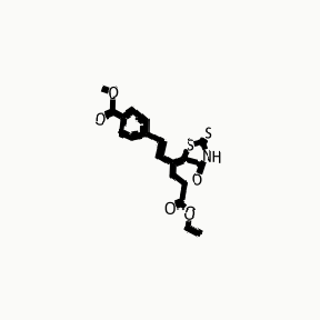 CCOC(=O)CCC(C=Cc1ccc(C(=O)OC)cc1)=C1SC(=S)NC1=O